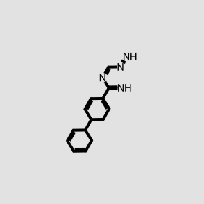 N=N/C=N\C(=N)C1=CCC(C2C=CC=CC2)C=C1